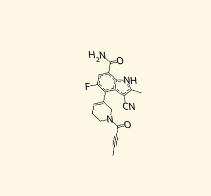 CC#CC(=O)N1CCC=C(c2c(F)cc(C(N)=O)c3[nH]c(C)c(C#N)c23)C1